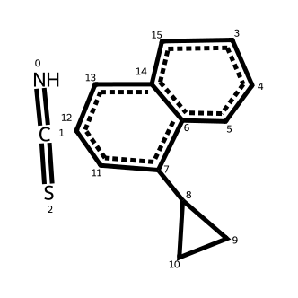 N=C=S.c1ccc2c(C3CC3)cccc2c1